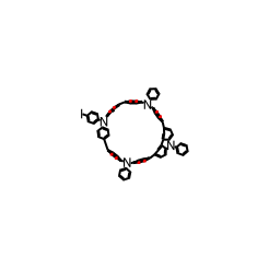 Ic1ccc(N2c3ccc(cc3)-c3ccc(cc3)N(c3ccccc3)c3ccc(cc3)-c3ccc4c(c3)c3cc(ccc3n4-c3ccccc3)-c3ccc(cc3)N(c3ccccc3)c3ccc(cc3)-c3ccc2cc3)cc1